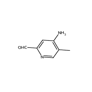 Cc1cnc(C=O)cc1N